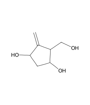 C=C1C(O)CC(O)C1CO